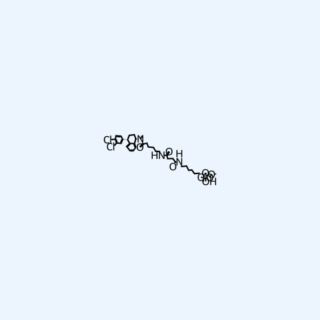 COOP(=O)(O)OCCCCCCNC(=O)CCC(=O)NCCCCCC(=O)N(C)[C@H]1CC[C@@H](c2ccc(Cl)c(Cl)c2)c2ccccc21